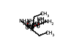 CCCCCCCC/C=C\CCCCCCCCN(CCCNC(=O)C(CCCNCCCN)NCCCN)CCN(CCCCCCCC/C=C\CCCCCCCC)CCCNC(=O)C(CCCNCCCN)NCCCN